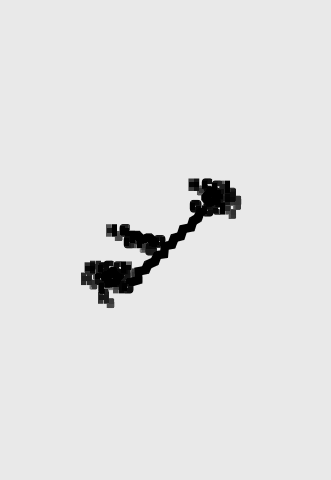 C[C@@H]1C[C@H](OC(=O)CCCCCCCC(CCCCCCCC(O)O[C@H]2C[C@@H](C)C(C)(C)C2(C)C)OC(=O)CCCN(C)C)C(C)(C)C1(C)C